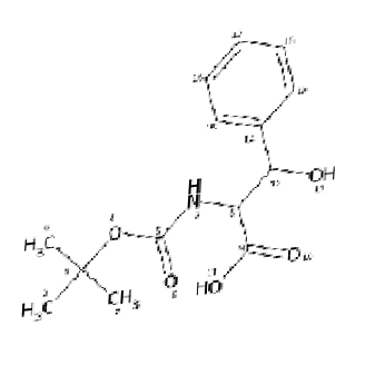 CC(C)(C)OC(=O)NC(C(=O)O)C(O)c1ccccc1